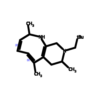 C/C1=C\C=C/C(C)NC2=C1CC(C)N(CC(C)(C)C)C2